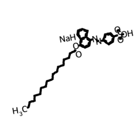 CCCCCCCCCCCCCCCCCC(=O)Oc1ccc(N=Nc2ccc(S(=O)(=O)O)cc2)c2ccccc12.[NaH]